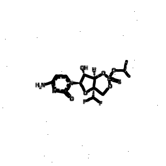 CC(C)OP1(=S)OC[C@@]2(C(F)F)O[C@@H](n3ccc(N)nc3=O)[C@H](O)[C@H]2O1